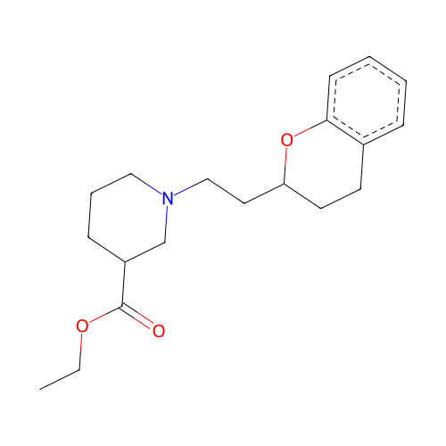 CCOC(=O)C1CCCN(CCC2CCc3ccccc3O2)C1